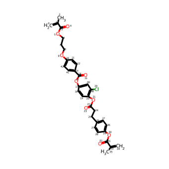 C=C(C)C(=O)OCCCOc1ccc(C(=O)Oc2ccc(OC(=O)CCc3ccc(OC(=O)C(=C)C)cc3)c(Cl)c2)cc1